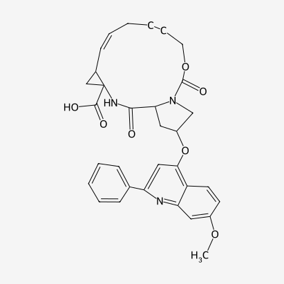 COc1ccc2c(OC3CC4C(=O)NC5(C(=O)O)CC5/C=C\CCCCOC(=O)N4C3)cc(-c3ccccc3)nc2c1